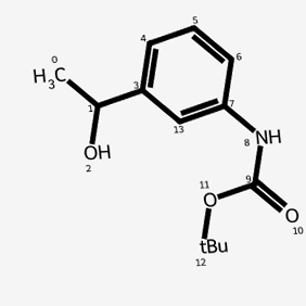 CC(O)c1cccc(NC(=O)OC(C)(C)C)c1